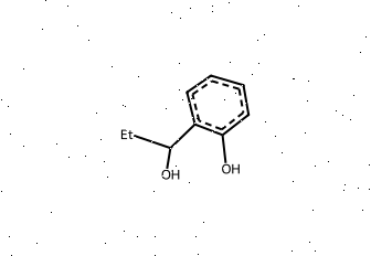 [CH2]CC(O)c1ccccc1O